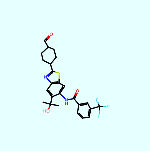 CC(C)(O)c1cc2nc(C3CCC(C=O)CC3)sc2cc1NC(=O)c1cccc(C(F)(F)F)c1